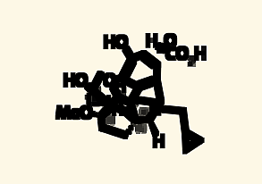 CC(=O)O.CO[C@@]12CC[C@@]3(C[C@@H]1[C@](C)(O)C(C)(C)C)[C@H]1Cc4ccc(O)c5c4[C@@]3(CCN1CC1CC1)[C@H]2O5.O